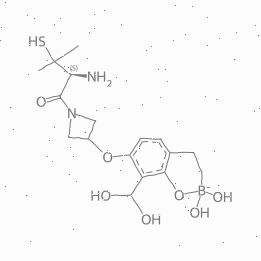 CC(C)(S)[C@@H](N)C(=O)N1CC(Oc2ccc3c(c2C(O)O)O[B-](O)(O)CC3)C1